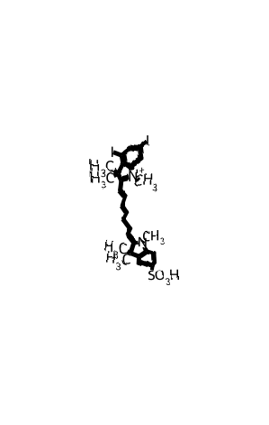 CN1\C(=C/C=C/C=C/C=C/C2=[N+](C)c3cc(I)cc(I)c3C2(C)C)C(C)(C)c2cc(S(=O)(=O)O)ccc21